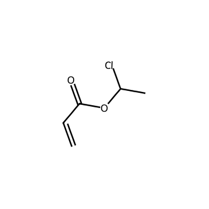 C=CC(=O)OC(C)Cl